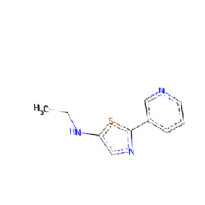 CCNc1cnc(-c2cccnc2)s1